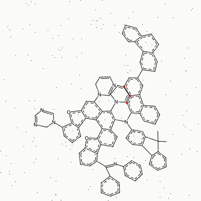 CC1(C)c2ccccc2-c2ccc(N(c3cc4ccc(-c5ccc6ccc7ccccc7c6c5)cc4c4ccccc34)c3c(N4C=CC=CC4)c4c(N5C=NC=CC5)cc5oc6c(N7C=NC=NC7)cccc6c5c4c4c3ccc3c4oc4cccc(C(=Nc5ccccc5)c5ccccc5)c43)cc21